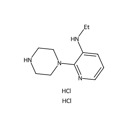 CCNc1cccnc1N1CCNCC1.Cl.Cl